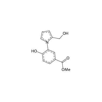 COC(=O)c1ccc(O)c(-n2cccc2CO)c1